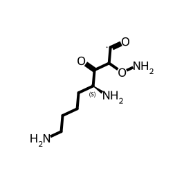 NCCCC[C@H](N)C(=O)C([C]=O)ON